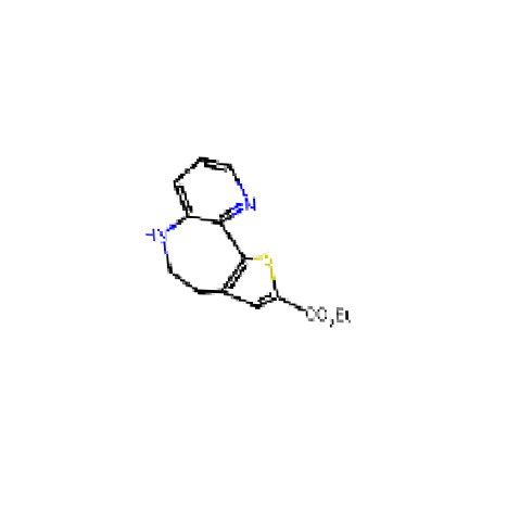 CCOC(=O)c1cc2c(s1)-c1ncccc1NCC2